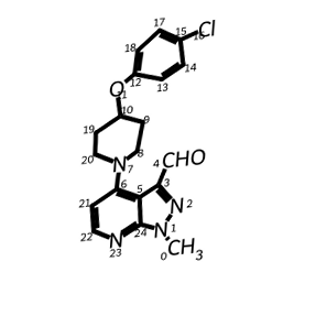 Cn1nc(C=O)c2c(N3CCC(Oc4ccc(Cl)cc4)CC3)ccnc21